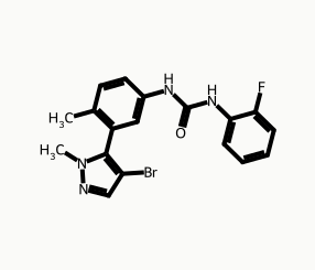 Cc1ccc(NC(=O)Nc2ccccc2F)cc1-c1c(Br)cnn1C